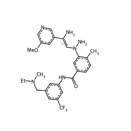 CCN(C)Cc1cc(NC(=O)c2ccc(C)c(N(N)/C=C(\N)c3cncc(OC)c3)c2)cc(C(F)(F)F)c1